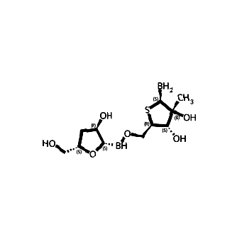 B[C@@H]1S[C@H](COB[C@@H]2O[C@H](CO)C[C@H]2O)[C@@H](O)[C@@]1(C)O